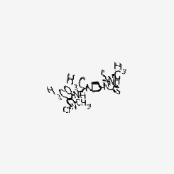 CCNC(=S)N(Cc1ccsc1)C1CCN(C(C)CCNC(=O)c2c(C)cc(Cl)nc2C)CC1